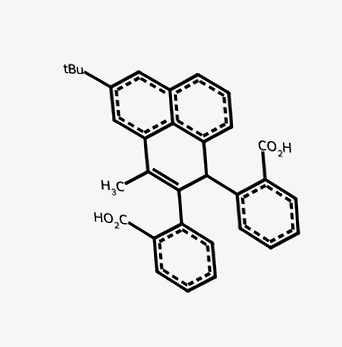 CC1=C(c2ccccc2C(=O)O)C(c2ccccc2C(=O)O)c2cccc3cc(C(C)(C)C)cc1c23